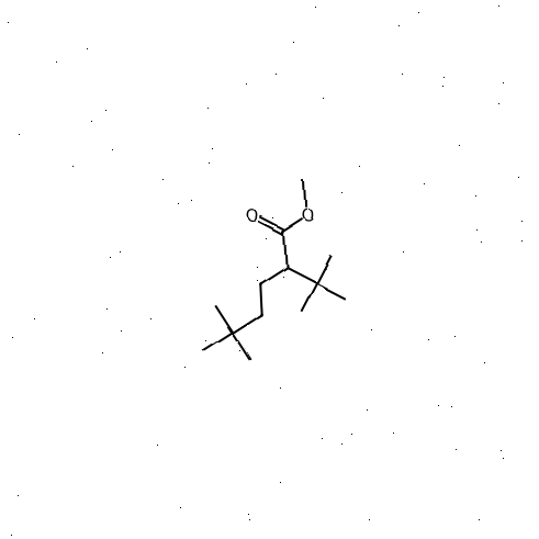 COC(=O)C(CCC(C)(C)C)C(C)(C)C